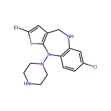 CCc1cc2c(s1)N(N1CCNCC1)c1ccc(Cl)cc1NC2